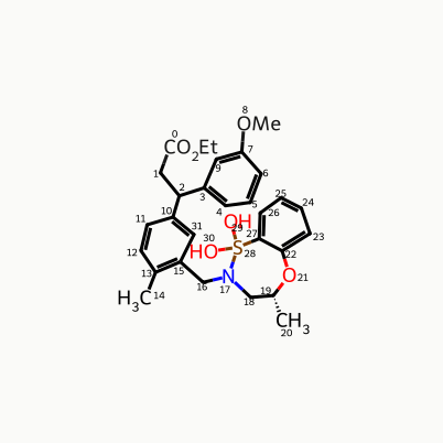 CCOC(=O)CC(c1cccc(OC)c1)c1ccc(C)c(CN2C[C@@H](C)Oc3ccccc3S2(O)O)c1